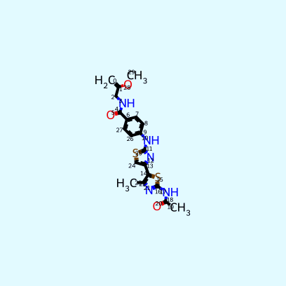 C=C(CNC(=O)c1ccc(Nc2nc(-c3sc(NC(C)=O)nc3C)cs2)cc1)OC